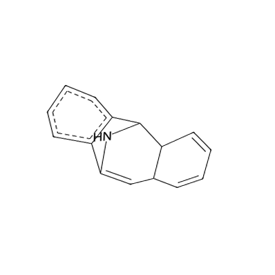 C1=CC2C=C3NC(c4ccccc43)C2C=C1